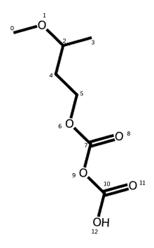 COC(C)CCOC(=O)OC(=O)O